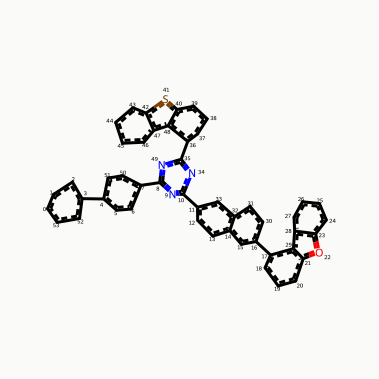 c1ccc(-c2ccc(-c3nc(-c4ccc5cc(-c6cccc7oc8ccccc8c67)ccc5c4)nc(-c4cccc5sc6ccccc6c45)n3)cc2)cc1